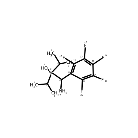 CC(C)[Si](O)(C(C)C)C(N)c1c(F)c(F)c(F)c(F)c1F